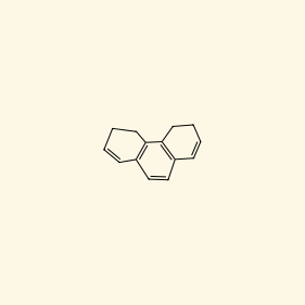 C1=Cc2ccc3c(c2CC1)CCC=C3